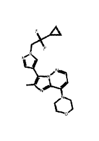 Cc1nc2c(N3CCOCC3)ccnn2c1-c1cnn(CC(F)(F)C2CC2)c1